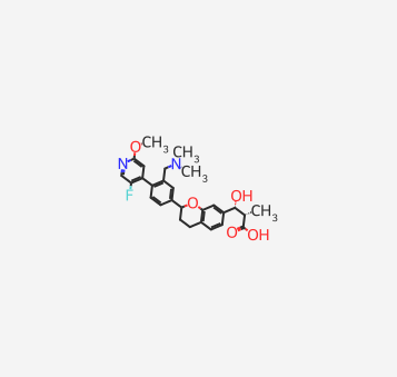 COc1cc(-c2ccc(C3CCc4ccc([C@H](O)[C@H](C)C(=O)O)cc4O3)cc2CN(C)C)c(F)cn1